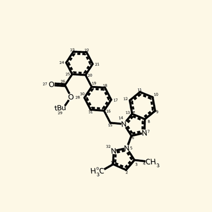 Cc1cc(C)n(-c2nc3ccccc3n2Cc2ccc(-c3ccccc3C(=O)OC(C)(C)C)cc2)n1